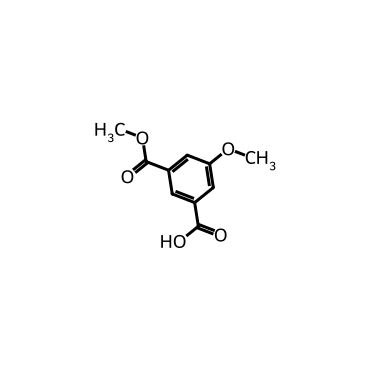 COC(=O)c1cc(OC)cc(C(=O)O)c1